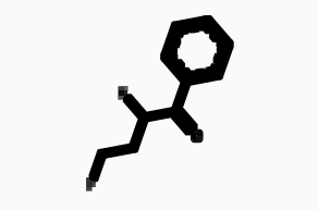 O=C(c1ccccc1)C(F)CCF